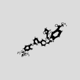 COC(=O)c1ccc2nc(CN3CCC(c4cccc(OCc5ccc(P(C)(C)=O)cc5F)n4)CC3)n(CC3CCO3)c2c1